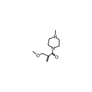 C=C(COC)C(=O)N1CCN(C)CC1